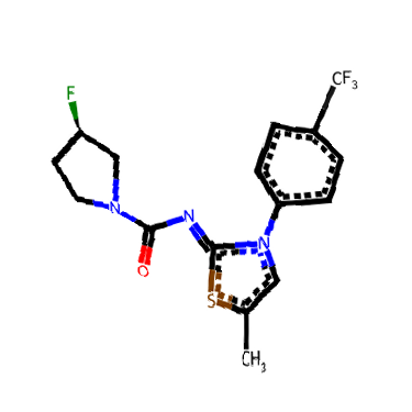 Cc1cn(-c2ccc(C(F)(F)F)cc2)c(=NC(=O)N2CC[C@@H](F)C2)s1